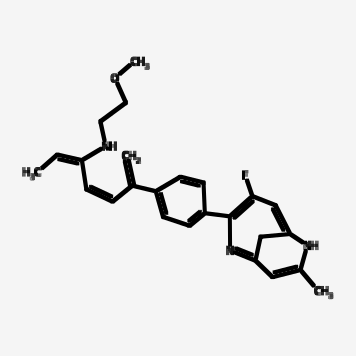 C=C(/C=C\C(=C/C)NCCOC)c1ccc(C2=C(F)C=C3CC(=N2)C=C(C)N3)cc1